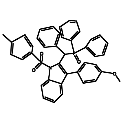 COc1ccc(-c2c(C(c3ccccc3)P(=O)(c3ccccc3)c3ccccc3)n(S(=O)(=O)c3ccc(C)cc3)c3ccccc23)cc1